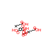 C1CO1.C1CO1.CC(C)(C)CCCCC(=O)O.CC(C)(C)CCCCC(=O)O.O=C(O)c1ccc(C(=O)O)c(C(=O)O)c1